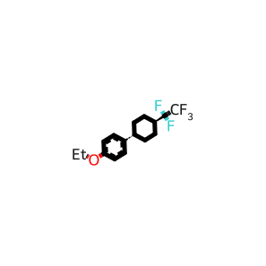 CCOc1ccc([C@H]2CC[C@H](C(F)(F)C(F)(F)F)CC2)cc1